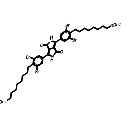 CCCCCCCCCCCCCCCCCCc1c(Br)cc(C2=C3C(=O)NC(c4cc(Br)c(CCCCCCCCCCCCCCCCCC)c(Br)c4)=C3C(=O)N2)cc1Br